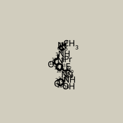 CC(C)n1c(CNc2cnn(C)c2)cc(=O)c2ccc(-c3nc(N[C@@H]4CCOC[C@H]4O)ncc3F)cc21